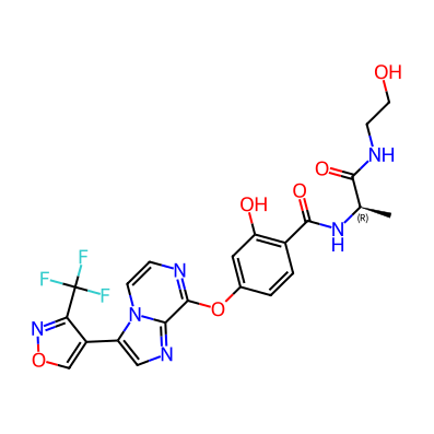 C[C@@H](NC(=O)c1ccc(Oc2nccn3c(-c4conc4C(F)(F)F)cnc23)cc1O)C(=O)NCCO